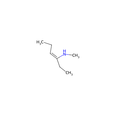 CCC=C(CC)NC